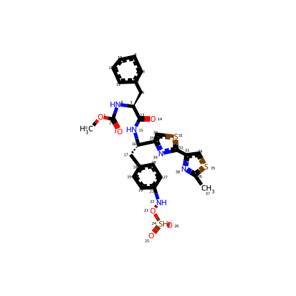 COC(=O)N[C@@H](Cc1ccccc1)C(=O)N[C@@H](Cc1ccc(NO[SH](=O)=O)cc1)c1csc(-c2csc(C)n2)n1